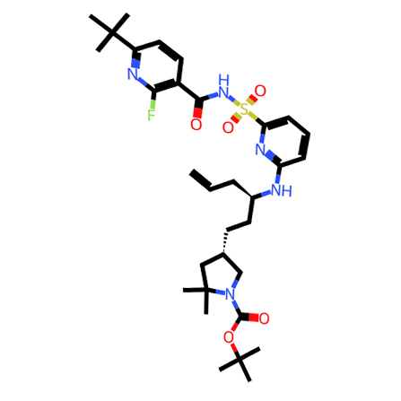 C=CC[C@H](CC[C@@H]1CN(C(=O)OC(C)(C)C)C(C)(C)C1)Nc1cccc(S(=O)(=O)NC(=O)c2ccc(C(C)(C)C)nc2F)n1